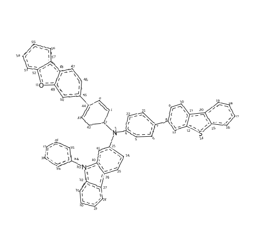 C1=CC(N(c2ccc(-c3ccc4c(c3)sc3ccccc34)cc2)c2ccc3c4ccccc4n(-c4ccccc4)c3c2)CC=C1c1ccc2c(c1)oc1ccccc12